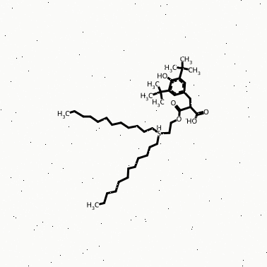 CCCCCCCCCCCC[SH](CCCCCCCCCCCC)CCOC(=O)C(Cc1cc(C(C)(C)C)c(O)c(C(C)(C)C)c1)C(=O)O